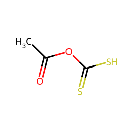 CC(=O)OC(=S)S